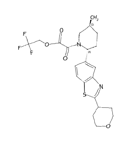 C[C@H]1CC[C@H](c2ccc3sc(C4CCOCC4)nc3c2)N(C(=O)C(=O)OCC(F)(F)F)C1